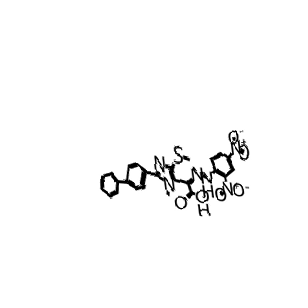 CSc1nc(-c2ccc(-c3ccccc3)cc2)n(C)c1C(=NNc1ccc([N+](=O)[O-])cc1[N+](=O)[O-])C(=O)O